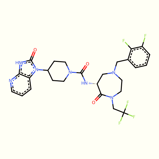 O=C(N[C@@H]1CN(Cc2cccc(F)c2F)CCN(CC(F)(F)F)C1=O)N1CCC(n2c(=O)[nH]c3ncccc32)CC1